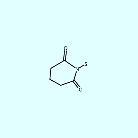 O=C1CCCC(=O)N1[S]